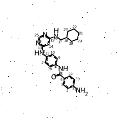 Nc1ccc(C(=O)Nc2ccc(Nc3cc(NCC4CCCCC4)ncn3)cc2)cc1